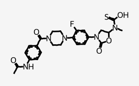 CC(=O)Nc1ccc(C(=O)N2CCN(c3ccc(N4CC(N(C)C(O)=S)OC4=O)cc3F)CC2)cc1